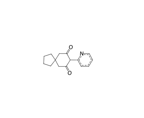 O=C1CC2(CCCC2)CC(=O)C1c1ccccn1